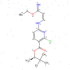 CCC(C)(C)[C@@H](C)OC(=O)c1ccc(N/C=C\C(=N)OCC(C)(C)C)nc1Cl